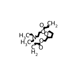 C=CC(=O)OCC1CCCO1.C=CC(=O)OCCN(CC)CC